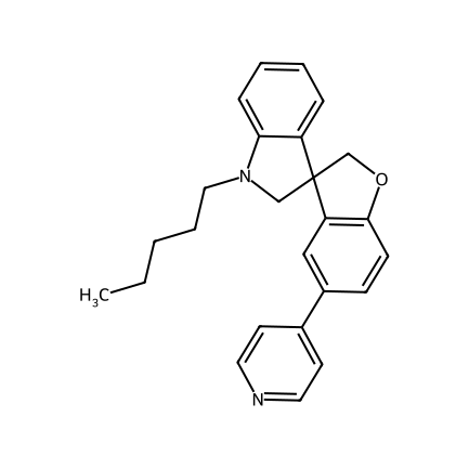 CCCCCN1CC2(COc3ccc(-c4ccncc4)cc32)c2ccccc21